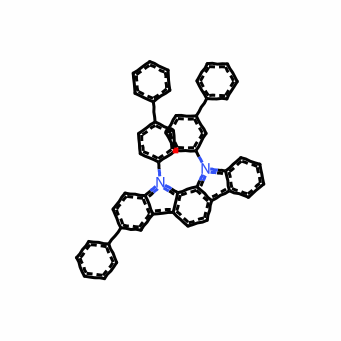 c1ccc(-c2ccc(-n3c4ccc(-c5ccccc5)cc4c4ccc5c6ccccc6n(-c6cccc(-c7ccccc7)c6)c5c43)cc2)cc1